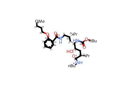 CCCCNC(=O)[C@@H](C[C@H](O)[C@H](C[C@H](CNC(=O)c1ccccc1OCCCOC)C(C)C)NC(=O)OC(C)(C)C)C(C)C